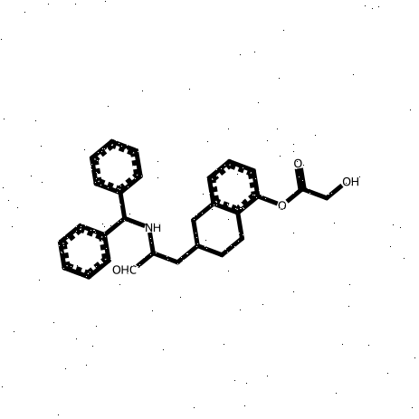 O=CC(CC1CCc2c(cccc2OC(=O)CO)C1)NC(c1ccccc1)c1ccccc1